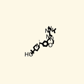 CC(C)n1ncnc1-c1cn2c(n1)-c1cc([C@@H](C)N3CCC(C(C)(C)O)CC3)ccc1OCC2